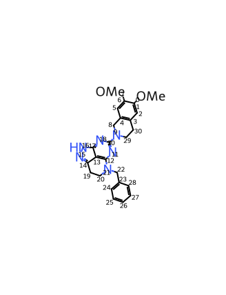 COc1cc2c(cc1OC)CN(c1nc3c4c(n[nH]c4n1)CCN3Cc1ccccc1)CC2